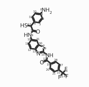 Nc1ccc(C(S)C(=O)Nc2ccc3nc(NC(=O)c4ccc(C(F)(F)F)cc4)sc3c2)cc1